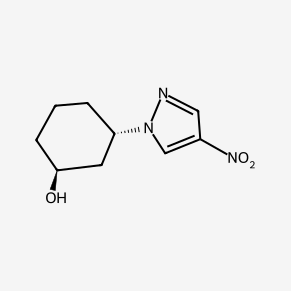 O=[N+]([O-])c1cnn([C@H]2CCC[C@H](O)C2)c1